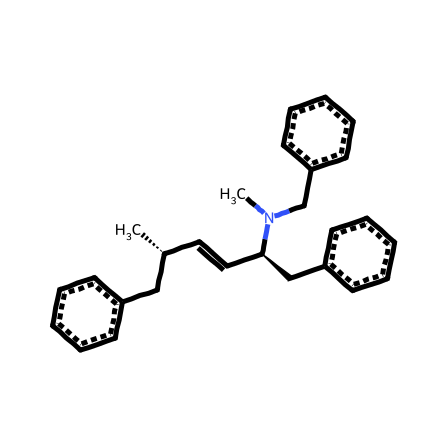 C[C@H](/C=C/[C@H](Cc1ccccc1)N(C)Cc1ccccc1)Cc1ccccc1